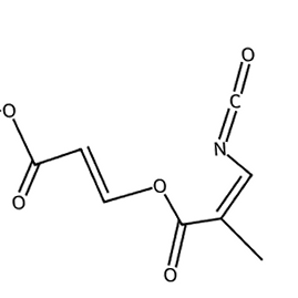 CC(=CN=C=O)C(=O)OC=CC([O])=O